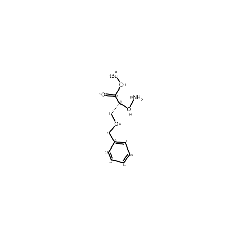 CC(C)(C)OC(=O)[C@@H](COCc1ccccc1)ON